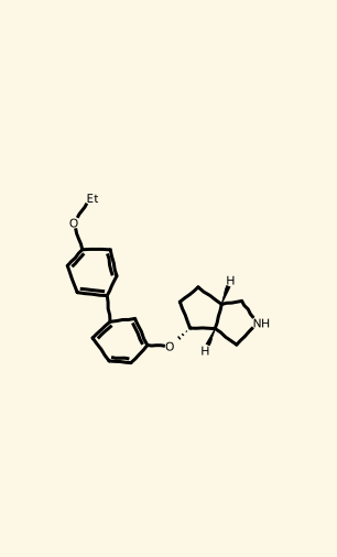 CCOc1ccc(-c2cccc(O[C@@H]3CC[C@@H]4CNC[C@@H]43)c2)cc1